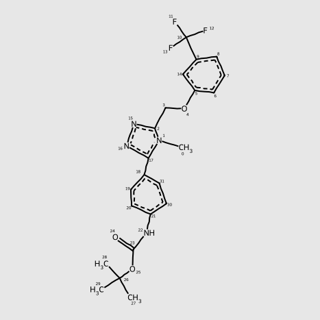 Cn1c(COc2cccc(C(F)(F)F)c2)nnc1-c1ccc(NC(=O)OC(C)(C)C)cc1